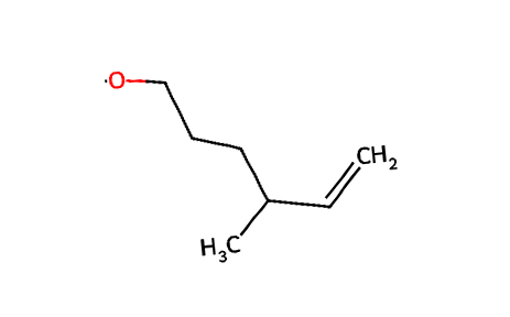 C=CC(C)CCC[O]